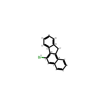 Brc1cc2ccccc2c2c1-c1ccccc1C2